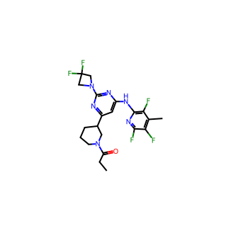 CCC(=O)N1CCCC(c2cc(Nc3nc(F)c(F)c(C)c3F)nc(N3CC(F)(F)C3)n2)C1